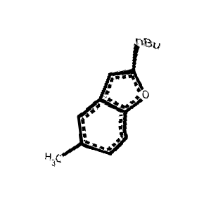 CCCCc1cc2cc(C)ccc2o1